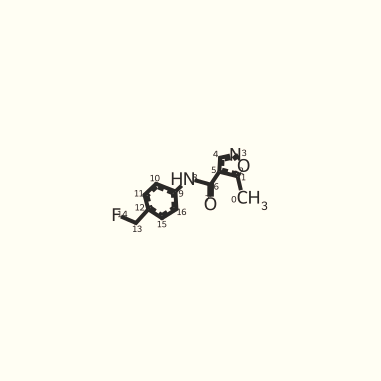 Cc1oncc1C(=O)Nc1ccc(CF)cc1